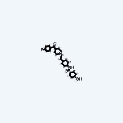 O=C(c1ccc(F)cc1)C1CCN(CCC2CCC(NC(=O)[C@H]3CC[C@H](O)CC3)CC2)CC1